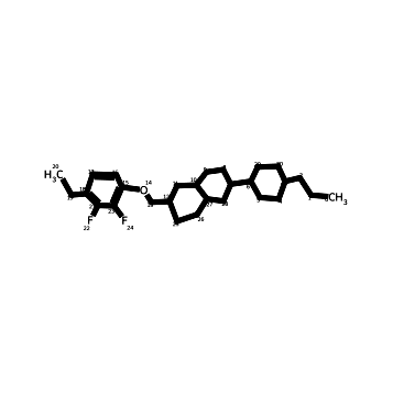 CCCC1CCC(C2CCC3CC(COc4ccc(CC)c(F)c4F)CCC3C2)CC1